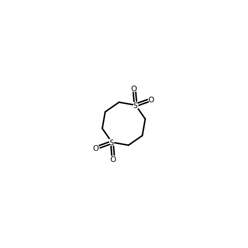 O=S1(=O)CCCS(=O)(=O)CCC1